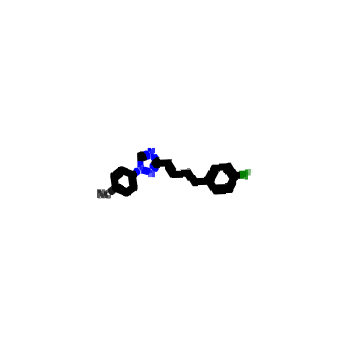 N#Cc1ccc(-n2cnc(C=CCCc3ccc(F)cc3)n2)cc1